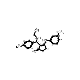 N#CCNC(C1=C(Nc2cccc(C(F)(F)F)c2)CCC1=O)c1ccc(C#N)cc1